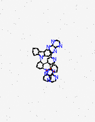 c1cc(-n2c3ccccc3c3ccccc32)c(-c2cc(-c3cnc4nccnc4n3)ncc2-c2cnc3nccnc3n2)c(-n2c3ccccc3c3ccccc32)c1